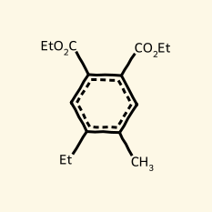 CCOC(=O)c1cc(C)c(CC)cc1C(=O)OCC